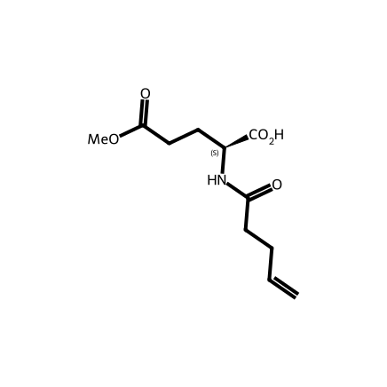 C=CCCC(=O)N[C@@H](CCC(=O)OC)C(=O)O